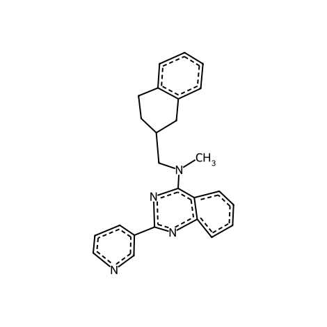 CN(CC1CCc2ccccc2C1)c1nc(-c2cccnc2)nc2ccccc12